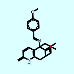 C=C1C=CC2=C(CC3C=C(C)CC2(/N=C/c2ccc(OC)cc2)/C3=C/C)N1